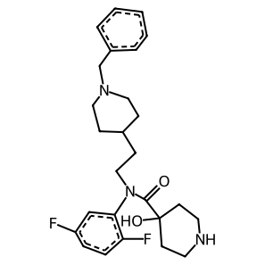 O=C(N(CCC1CCN(Cc2ccccc2)CC1)c1cc(F)ccc1F)C1(O)CCNCC1